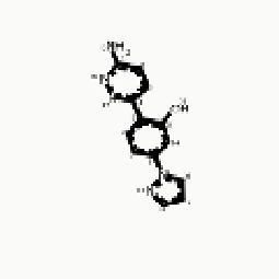 Nc1ccc(-c2ccc(-n3cccn3)cc2O)nn1